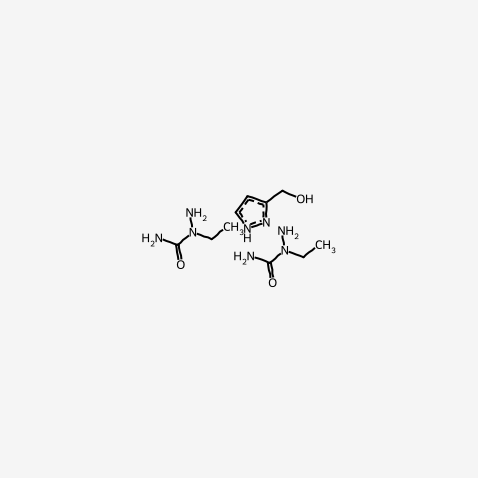 CCN(N)C(N)=O.CCN(N)C(N)=O.OCc1cc[nH]n1